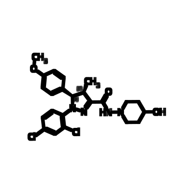 COc1ccc([C@H]2[C@@H](C)C(C(=O)NN3CCC(O)CC3)=NN2c2ccc(Cl)cc2Cl)cc1